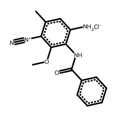 COc1c([N+]#N)c(C)cc(N)c1NC(=O)c1ccccc1.[Cl-]